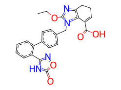 CCOc1nc2c(n1Cc1ccc(-c3ccccc3-c3noc(=O)[nH]3)cc1)C(C(=O)O)=CCC2